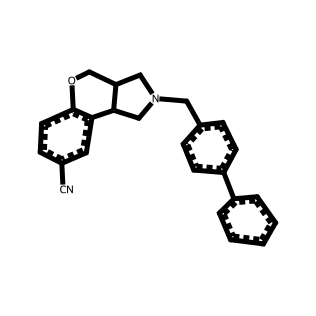 N#Cc1ccc2c(c1)C1CN(Cc3ccc(-c4ccccc4)cc3)CC1CO2